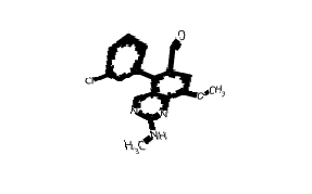 CNc1ncc2c(-c3cccc(Cl)c3)c(C=O)cc(OC)c2n1